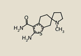 CN1CCCC12CCc1c(sc(N)c1C(N)=O)C2